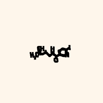 CN(C)CCCNC(=O)c1ccc(I)nc1